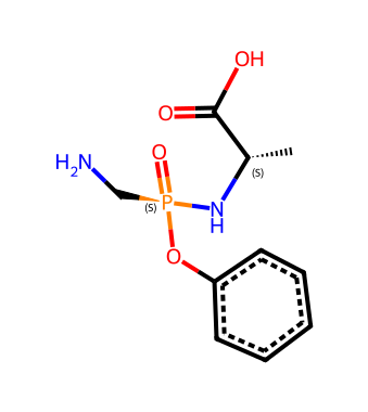 C[C@H](N[P@](=O)(CN)Oc1ccccc1)C(=O)O